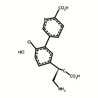 Cl.NC[C@H](CC(=O)O)c1ccc(Cl)c(-c2ccc(C(=O)O)nc2)c1